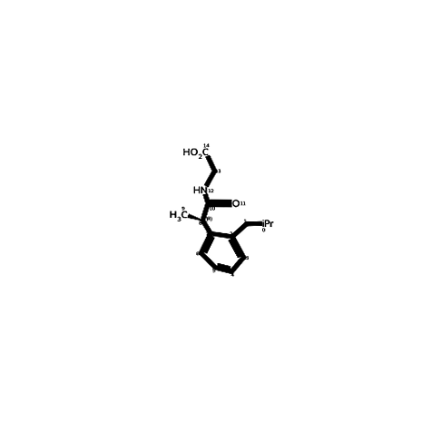 CC(C)Cc1ccccc1[C@@H](C)C(=O)NCC(=O)O